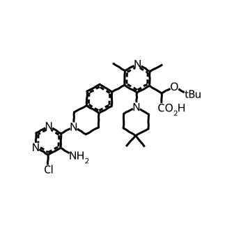 Cc1nc(C)c(C(OC(C)(C)C)C(=O)O)c(N2CCC(C)(C)CC2)c1-c1ccc2c(c1)CCN(c1ncnc(Cl)c1N)C2